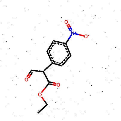 CCOC(=O)C(C=O)c1ccc([N+](=O)[O-])cc1